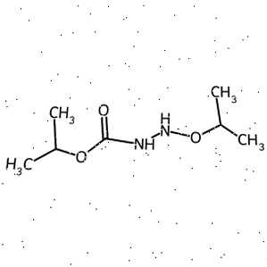 CC(C)ONNC(=O)OC(C)C